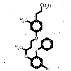 CCc1ccc(OC(C)CCOc2ccc(CCC(=O)O)c(C)c2)c(Sc2ccccc2)c1